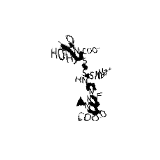 C[C@@H]1C(SCCSC(=S)NC2CCN(c3nc4c(cc3F)c(=O)c(C(=O)[O-])cn4C3CC3)C2)=C(C(=O)[O-])N2C(=O)[C@@H]([C@@H](C)O)[C@H]12.[Na+].[Na+]